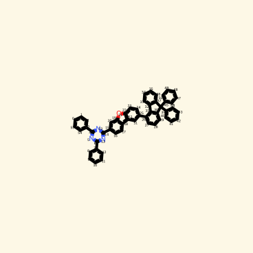 c1ccc(-c2nc(-c3ccccc3)nc(-c3ccc4c(c3)oc3ccc(-c5cccc6c5-c5ccccc5C6(c5ccccc5)c5ccccc5)cc34)n2)cc1